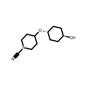 N#CN1CCC(O[C@H]2CC[C@H](O)CC2)CC1